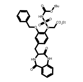 CCOC(=O)CN(c1ccc(CC2NC(=O)c3ccccc3NC2=O)cc1OCc1ccccc1)S(=O)(=O)NC(=O)OC(C)(C)C